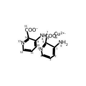 Nc1cccnc1C(=O)[O-].Nc1cccnc1C(=O)[O-].[Cu+2]